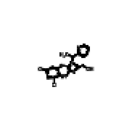 CC(C)c1nc(CO)n(C(C)c2ccccn2)c1Sc1cc(Cl)cc(Cl)c1